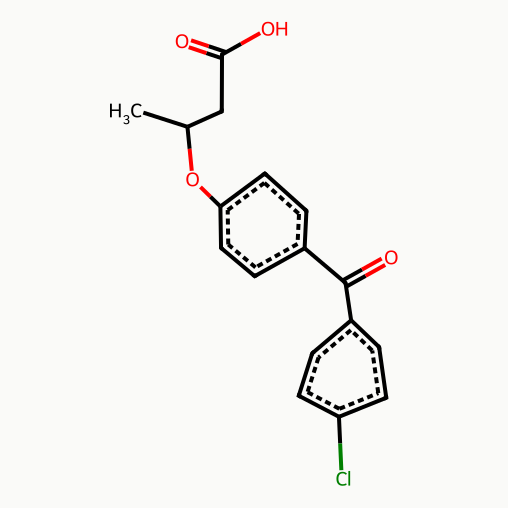 CC(CC(=O)O)Oc1ccc(C(=O)c2ccc(Cl)cc2)cc1